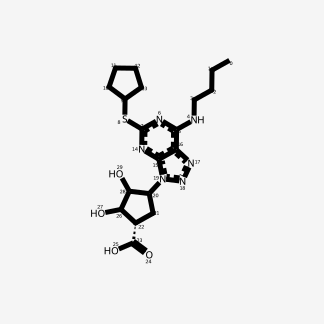 CCCCNc1nc(SC2CCCC2)nc2c1nnn2C1C[C@H](C(=O)O)C(O)C1O